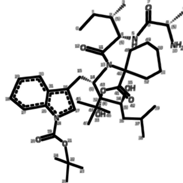 CC[C@H](C)[C@H](NC(=O)[C@H](C)N)C(=O)N([C@@H](Cc1cn(C(=O)OC(C)(C)C)c2ccccc12)[C@@H](O)[C@@H](O)CC(C)C)C1(C(=O)OC(C)(C)C)CCCCC1